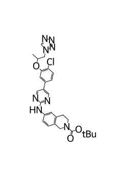 CC(Cn1cnnn1)Oc1cc(-c2cnc(Nc3ccc4c(c3)CCN(C(=O)OC(C)(C)C)C4)nc2)ccc1Cl